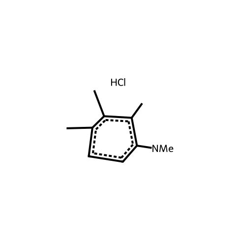 CNc1ccc(C)c(C)c1C.Cl